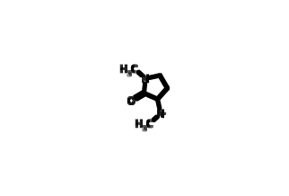 C[N]C1CCN(C)C1=O